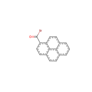 O=C(Br)c1ccc2ccc3cccc4ccc1c2c34